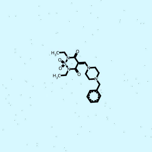 CCN1C(=O)C(=CN2CCN(Cc3ccccc3)CC2)C(=O)N(CC)S1(=O)=O